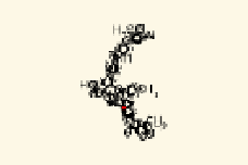 CC[C@@]1(O)C(=O)OCc2c1cc1n(c2=O)Cc2cc3c(CN4CCN(C(=O)C5CCN(c6ccc(C(=O)NC7CCC(Oc8ccc(C#N)c(Cl)c8C)CC7)nn6)CC5)CC4)c(OC(=O)N4CCN(C)CC4)ccc3nc2-1.O=CO